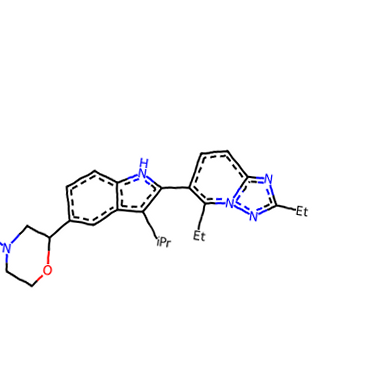 CCc1nc2ccc(-c3[nH]c4ccc(C5CN(C)CCO5)cc4c3C(C)C)c(CC)n2n1